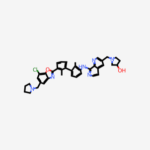 Cc1c(Nc2nccc3cc(CN4CCC(O)C4)cnc23)cccc1-c1cccc(-c2nc3cc(CN4CCCC4)cc(Cl)c3o2)c1C